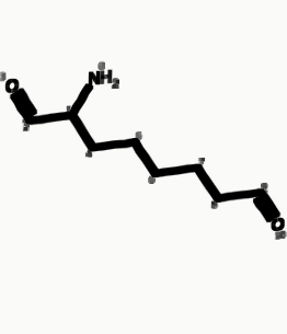 NC([C]=O)CCCCC[C]=O